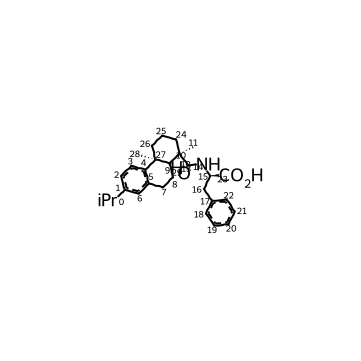 CC(C)c1ccc2c(c1)CC[C@H]1[C@](C)(C(=O)N[C@H](Cc3ccccc3)C(=O)O)CCC[C@]21C